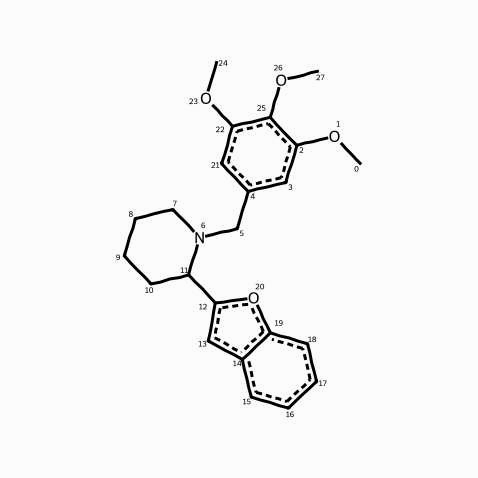 COc1cc(CN2CCCCC2c2cc3ccccc3o2)cc(OC)c1OC